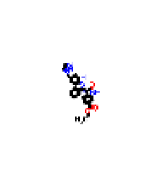 CCOC(=O)c1ccc2c(c1)NC(=O)/C2=C(\Nc1ccc(Cn2ccnn2)cc1)c1ccccc1